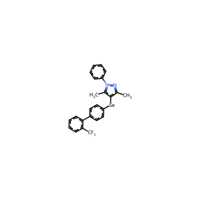 Cc1nn(-c2ccccc2)c(C)c1[Se]c1ccc(-c2ccccc2C(F)(F)F)cc1